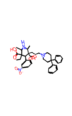 CCC1(C(=O)O)C(C)NC(C)C(CCCN2CCC(c3ccccc3)(c3ccccc3)CC2)(C(=O)O)C1c1cccc([N+](=O)[O-])c1